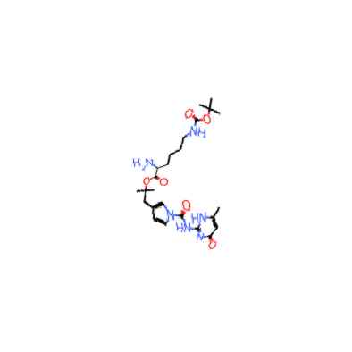 Cc1cc(=O)nc(NC(=O)n2ccc(CC(C)(C)OC(=O)[C@@H](N)CCCCNC(=O)OC(C)(C)C)c2)[nH]1